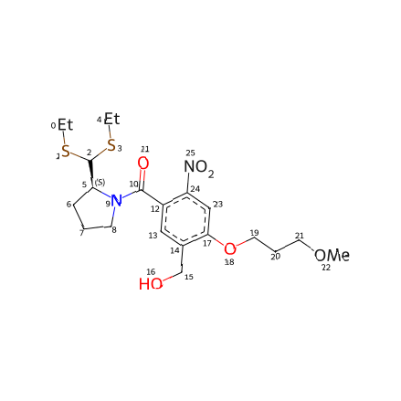 CCSC(SCC)[C@@H]1CCCN1C(=O)c1cc(CO)c(OCCCOC)cc1[N+](=O)[O-]